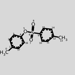 Cc1ccc(OS(=O)(=O)c2ccc(C)cc2)cc1